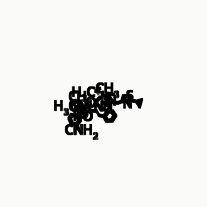 CC(C)CN(C[C@H](O)[C@H](Cc1ccccc1)NC(=O)[C@H](C(C)C)N1CCN(Cc2csc(C3CC3)n2)C1=O)S(=O)(=O)c1ccc(Cl)c(N)c1